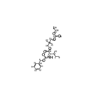 CC[C@H](C)[C@H](NC(=O)OCc1ccccc1)C(=O)OCC(C)(C)COC(=O)OCI